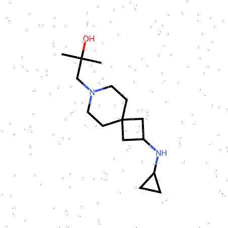 CC(C)(O)CN1CCC2(CC1)CC(NC1CC1)C2